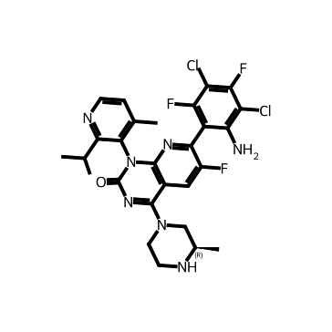 Cc1ccnc(C(C)C)c1-n1c(=O)nc(N2CCN[C@H](C)C2)c2cc(F)c(-c3c(N)c(Cl)c(F)c(Cl)c3F)nc21